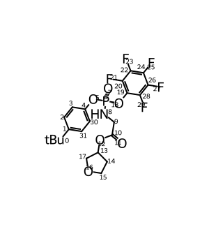 CC(C)(C)c1ccc(OP(=O)(NCC(=O)OC2CCOC2)Oc2c(F)c(F)c(F)c(F)c2F)cc1